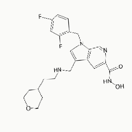 O=C(NO)c1cc2c(CNCCC3CCOCC3)cn(Cc3ccc(F)cc3F)c2cn1